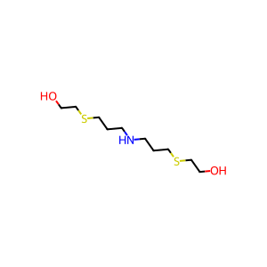 OCCSCCCNCCCSCCO